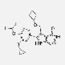 O=c1[nH]ncc2[nH]c(-c3ccc(OC(F)F)c(OC4CC4)c3)c(COC3CCC3)c12